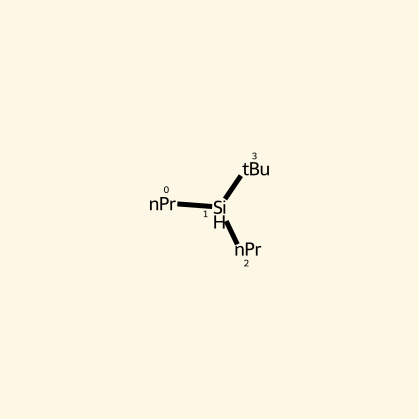 CCC[SiH](CCC)C(C)(C)C